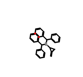 C=C1CC1B(C(c1ccccc1)c1ccccc1)C(c1ccccc1)c1ccccc1